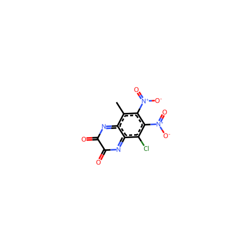 Cc1c([N+](=O)[O-])c([N+](=O)[O-])c(Cl)c2c1=NC(=O)C(=O)N=2